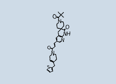 CC(C)(C)C(=O)N1CCC2(CC1)Cc1cc(/C=C/C(=O)N3CC=C(Cc4cccs4)CC3)cnc1NC2=O